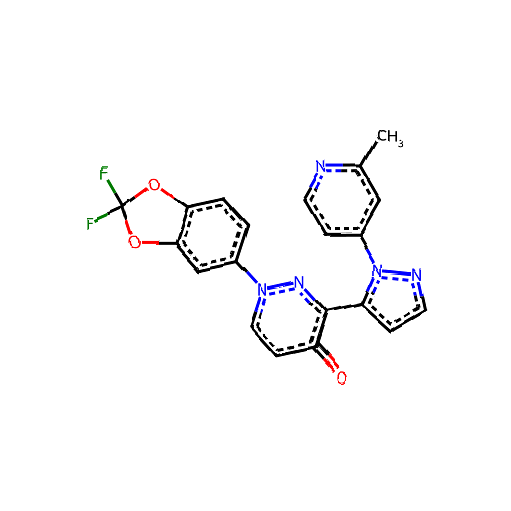 Cc1cc(-n2nccc2-c2nn(-c3ccc4c(c3)OC(F)(F)O4)ccc2=O)ccn1